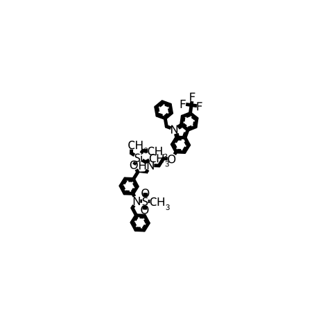 CC[Si](CC)(CC)O[C@@H](CNCCOc1ccc2c3ccc(C(F)(F)F)cc3n(Cc3ccccc3)c2c1)c1cccc(N(Cc2ccccc2)S(C)(=O)=O)c1